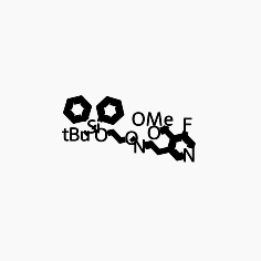 COC(=O)c1c(F)cncc1C/C=N/OCCO[Si](c1ccccc1)(c1ccccc1)C(C)(C)C